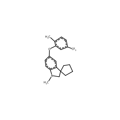 Cc1ccc(C(F)(F)F)cc1Oc1ccc2c(c1)C1(CCCC1)CN2C